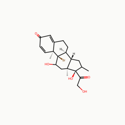 CC1C[C@H]2[C@@H]3CCC4=CC(=O)C=C[C@]4(C)[C@@]3(Br)C(O)C[C@]2(C)[C@@]1(O)C(=O)CO